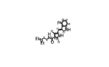 CCN(CC)CCNC(=O)c1c(C)[nH]c(/C=C2\CNc3cccc(F)c32)c1C